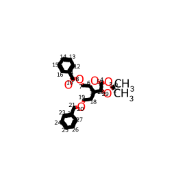 CC1(C)OC2OC(COC(=O)c3ccccc3)C(CCOCc3ccccc3)C2O1